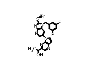 CC(C)Sc1nc2ncc(-n3ccc4ncc(C(C)O)nc43)cc2n1Cc1cc(F)cc(F)c1